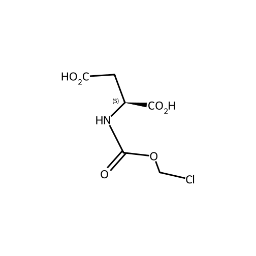 O=C(O)C[C@H](NC(=O)OCCl)C(=O)O